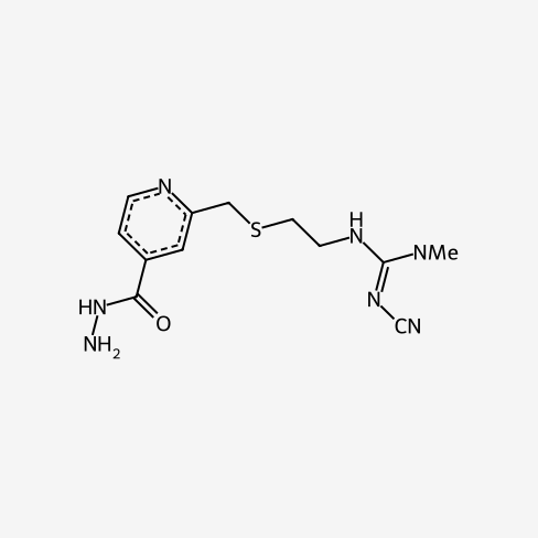 CNC(=NC#N)NCCSCc1cc(C(=O)NN)ccn1